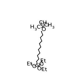 CCO[Si](CCCCCCCCCCCO[Si](C)(C)C)(OCC)OCC